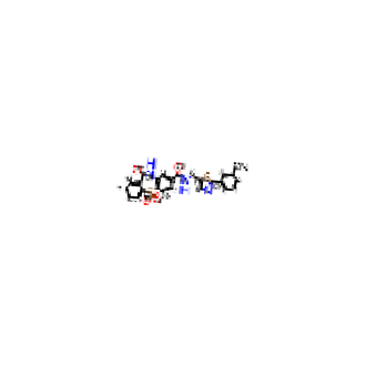 N#Cc1cccc(-c2ncc(CNC(=O)c3ccc4c(c3)NC(=O)c3ccccc3S4(=O)=O)s2)c1